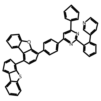 c1ccc(-c2cc(-c3ccc(-c4ccc(-c5cccc6c5sc5ccccc56)c5c4oc4ccccc45)cc3)nc(-c3ccccc3-c3cccnc3)n2)cc1